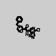 O=C(Nc1cnc(Cl)n2cnnc12)C1CN(Cc2ccccc2)CCO1